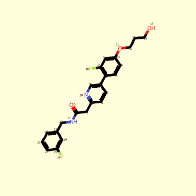 O=C(Cc1ccc(-c2ccc(OCCCO)cc2F)cn1)NCc1cccc(F)c1